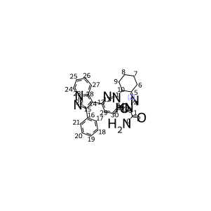 NC(=O)N/N=C1/CCCCC1n1nc(-c2c(-c3ccccc3)nn3ccccc23)ccc1=O